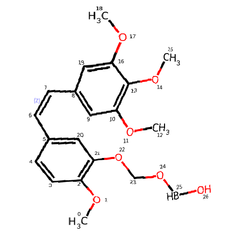 COc1ccc(/C=C\c2cc(OC)c(OC)c(OC)c2)cc1OCOBO